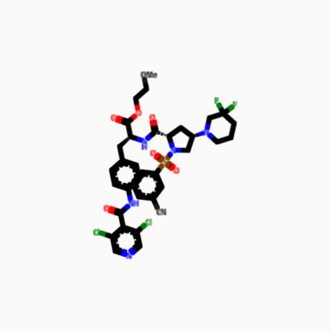 COCCOC(=O)[C@H](Cc1ccc(NC(=O)c2c(Cl)cncc2Cl)cc1)NC(=O)[C@@H]1C[C@@H](N2CCCC(F)(F)C2)CN1S(=O)(=O)c1cccc(C#N)c1